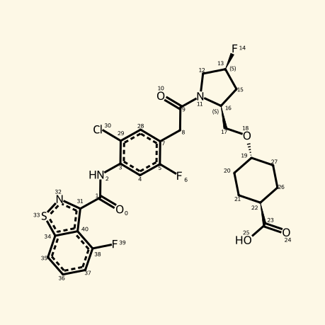 O=C(Nc1cc(F)c(CC(=O)N2C[C@@H](F)C[C@H]2CO[C@H]2CC[C@H](C(=O)O)CC2)cc1Cl)c1nsc2cccc(F)c12